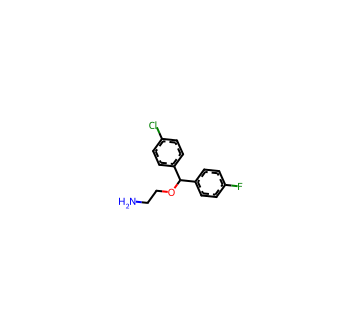 NCCOC(c1ccc(F)cc1)c1ccc(Cl)cc1